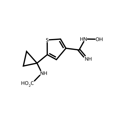 N=C(NO)c1csc(C2(NC(=O)O)CC2)c1